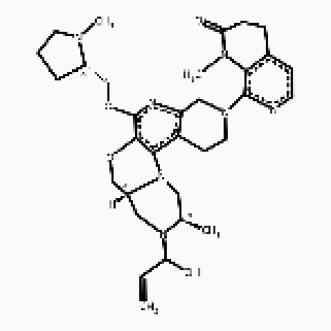 C=CC(O)N1C[C@@H]2COc3c(OC[C@@H]4CCCN4C)nc4c(c3N2C[C@H]1C)CCN(c1nccc2c1N(C)C(=O)CC2)C4